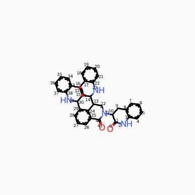 O=C1Nc2ccccc2CC1N1[C]C(C2C=Cc3ccccc3N2)c2c(cccc2C2CCc3ccccc3N2)C1=O